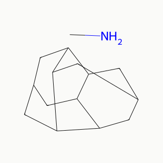 C1C2CC3C4CC5CC(C14)C(C2)C3C5.CN